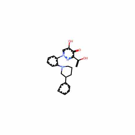 C=C(O)c1nn(-c2ccccc2N2CCCC(c3ccccc3)C2)cc(O)c1=O